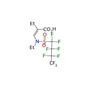 CCC(=CN(CC)S(=O)(=O)C(F)(F)C(F)(F)C(F)(F)C(F)(F)F)C(=O)O